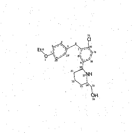 CCOc1ccc(Cc2cc(C3CCCC(CO)N3)ccc2Cl)cc1